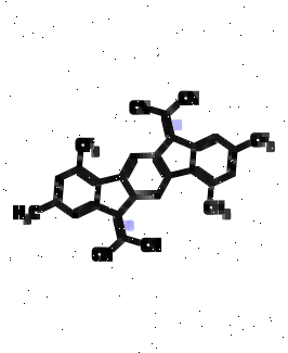 [C-]#[N+]/C(C#N)=C1/c2cc3c(cc2-c2c1cc(C)cc2C(F)(F)F)/C(=C(/C#N)[N+]#[C-])c1cc(C(F)(F)F)cc(C)c1-3